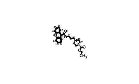 CCOC(=O)N1CCN(CCCOC(=O)C2c3ccccc3Oc3ccccc32)CC1